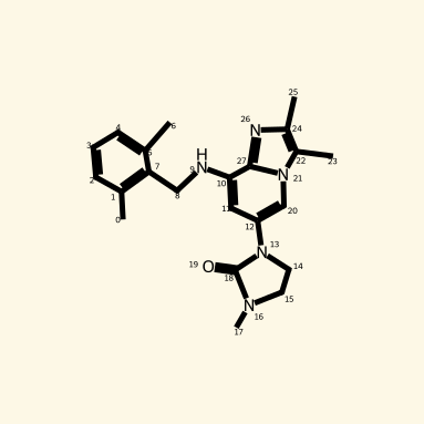 Cc1cccc(C)c1CNc1cc(N2CCN(C)C2=O)cn2c(C)c(C)nc12